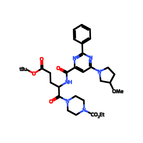 CCOC(=O)N1CCN(C(=O)C(CCC(=O)OC(C)(C)C)NC(=O)c2cc(N3CCC(OC)C3)nc(-c3ccccc3)n2)CC1